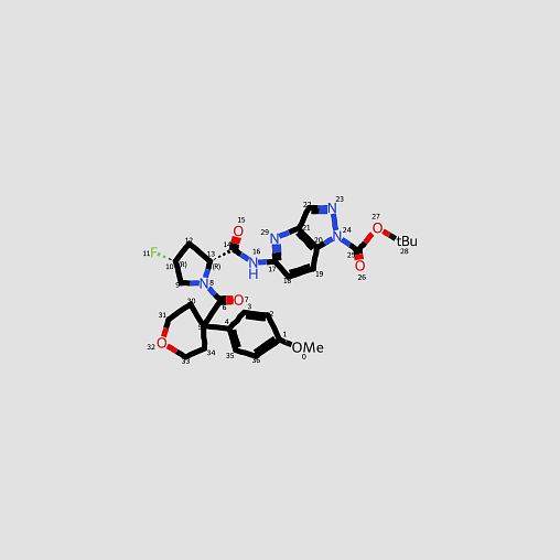 COc1ccc(C2(C(=O)N3C[C@H](F)C[C@@H]3C(=O)Nc3ccc4c(cnn4C(=O)OC(C)(C)C)n3)CCOCC2)cc1